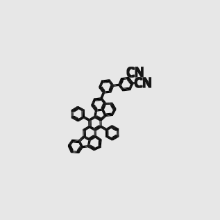 N#Cc1ccc(-c2cccc(-c3ccc4c5c(-c6ccccc6)c6cc7c8ccccc8c8cccc(c6c(-c6ccccc6)c5c5cccc3c45)c87)c2)cc1C#N